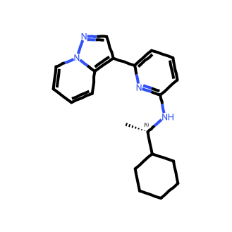 C[C@H](Nc1cccc(-c2cnn3ccccc23)n1)C1CCCCC1